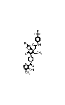 CCc1c(N2CCN(C(=O)c3ncnc(C)c3O)CC2)c(=O)n2nc(Br)nc2n1CC(=O)Nc1ccc(C(F)(F)F)cc1